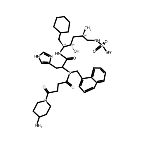 CCCS(=O)(=O)NC[C@H](C)C[C@H](O)[C@H](CC1CCCCC1)NC(=O)C(Cc1c[nH]cn1)N(Cc1cccc2ccccc12)C(=O)CCC(=O)N1CCC(N)CC1